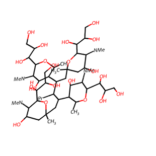 CNC1C(O)CC(C)(CC(C2C(C)OC(C(O)C(O)CO)C(NC)C2O)C(C(C)C)C(CC2(C)CC(O)C(NC)C(C(O)C(O)CO)O2)C2C(C)OC(C(O)C(O)CO)C(NC)C2O)OC1C(O)C(O)CO